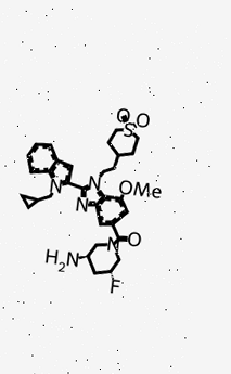 COc1cc(C(=O)N2C[C@H](N)C[C@@H](F)C2)cc2nc(-c3cc4ccccc4n3CC3CC3)n(CCC3CCS(=O)(=O)CC3)c12